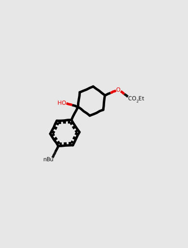 CCCCc1ccc(C2(O)CCC(OC(=O)OCC)CC2)cc1